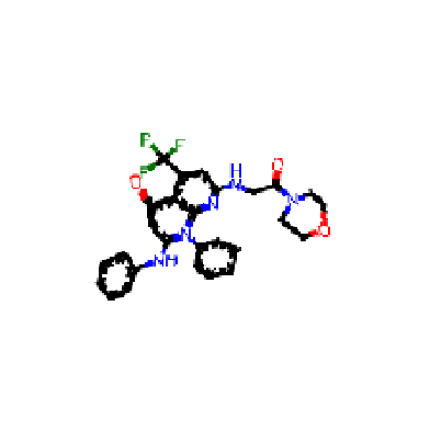 O=C(CNc1cc(C(F)(F)F)c2c(=O)cc(Nc3ccccc3)n(-c3ccccc3)c2n1)N1CCOCC1